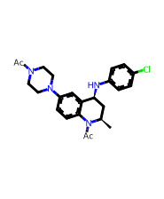 CC(=O)N1CCN(c2ccc3c(c2)[C@@H](Nc2ccc(Cl)cc2)C[C@@H](C)N3C(C)=O)CC1